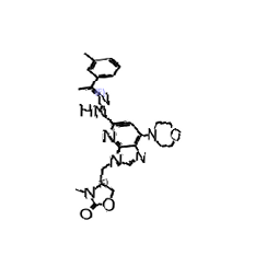 C/C(=N\Nc1cc(N2CCOCC2)c2ncn(C[C@H]3COC(=O)N3C)c2n1)c1cccc(C)c1